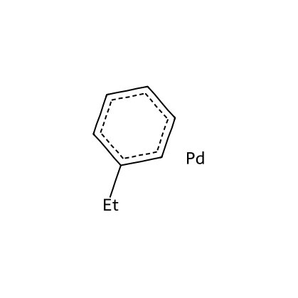 CCc1ccccc1.[Pd]